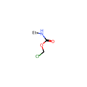 CCNC(=O)OCCl